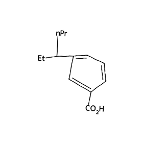 CCCC(CC)c1cccc(C(=O)O)c1